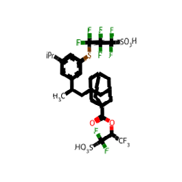 CC(C)c1cc(SC(F)(F)C(F)(F)C(F)(F)S(=O)(=O)O)cc(C(C)CC23CC4CC(C2)CC(C(=O)OC(C(F)(F)F)C(F)(F)S(=O)(=O)O)(C4)C3)c1